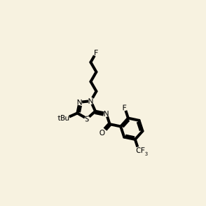 CC(C)(C)c1nn(CCCCF)/c(=N/C(=O)c2cc(C(F)(F)F)ccc2F)s1